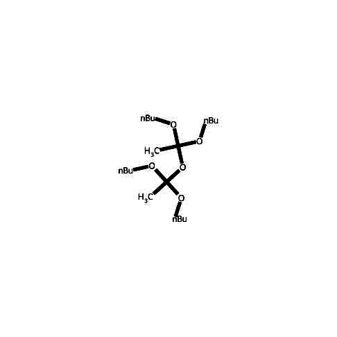 CCCCOC(C)(OCCCC)OC(C)(OCCCC)OCCCC